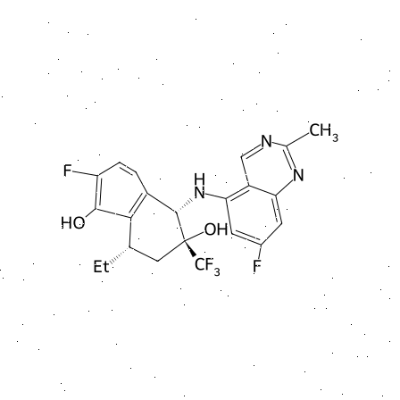 CC[C@H]1C[C@](O)(C(F)(F)F)[C@@H](Nc2cc(F)cc3nc(C)ncc23)c2ccc(F)c(O)c21